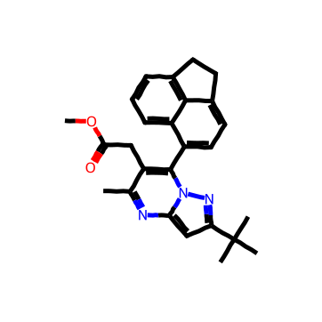 COC(=O)Cc1c(C)nc2cc(C(C)(C)C)nn2c1-c1ccc2c3c(cccc13)CC2